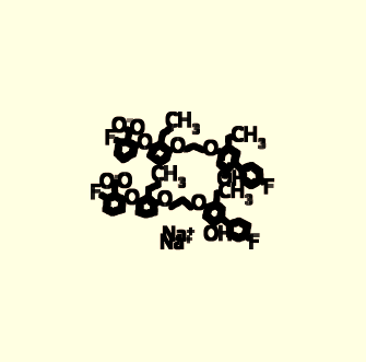 CCCc1c(OCCCOc2cc(O)c(-c3ccc(F)cc3)cc2CC)cccc1Oc1cccc(F)c1C(=O)[O-].CCCc1c(OCCCOc2cc(O)c(-c3ccc(F)cc3)cc2CC)cccc1Oc1cccc(F)c1C(=O)[O-].[Na+].[Na+]